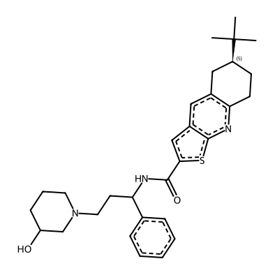 CC(C)(C)[C@H]1CCc2nc3sc(C(=O)NC(CCN4CCCC(O)C4)c4ccccc4)cc3cc2C1